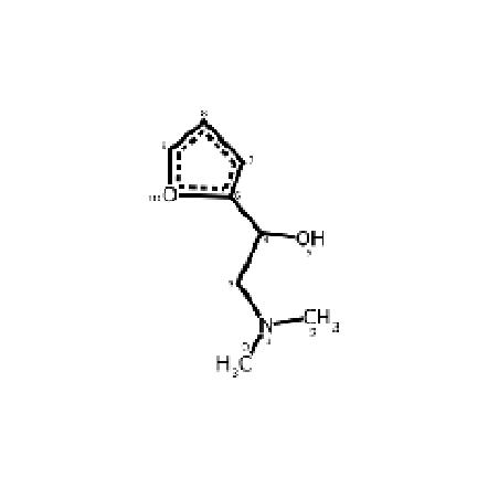 CN(C)CC(O)c1ccco1